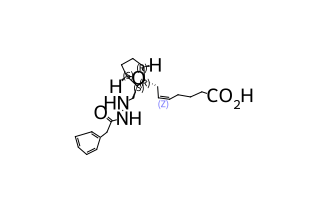 O=C(O)CCC/C=C\C[C@@H]1[C@@H](CNNC(=O)Cc2ccccc2)[C@@H]2CC[C@H]1O2